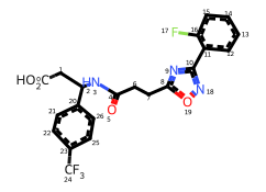 O=C(O)CC(NC(=O)CCc1nc(-c2ccccc2F)no1)c1ccc(C(F)(F)F)cc1